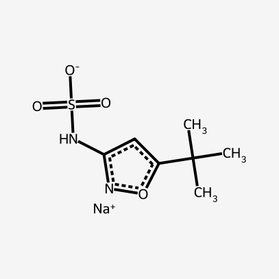 CC(C)(C)c1cc(NS(=O)(=O)[O-])no1.[Na+]